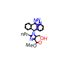 CCCc1nc(C(=O)OC)c(CO)n1C(c1ccccc1)c1ccccc1-c1nnn[nH]1